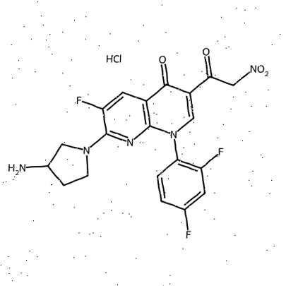 Cl.NC1CCN(c2nc3c(cc2F)c(=O)c(C(=O)C[N+](=O)[O-])cn3-c2ccc(F)cc2F)C1